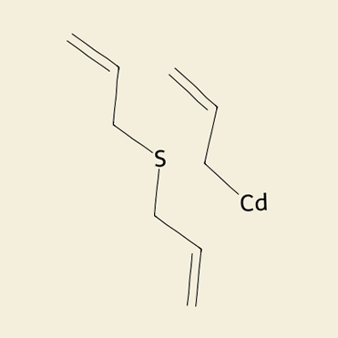 C=CCSCC=C.C=C[CH2][Cd]